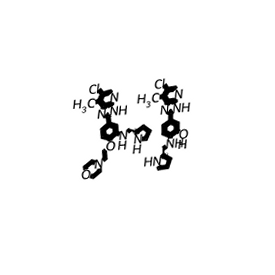 Cc1c(Cl)cnc2[nH]c(-c3ccc(NC[C@H]4CCCN4)c(O)c3)nc12.Cc1c(Cl)cnc2[nH]c(-c3ccc(OCCN4CCOCC4)c(NC[C@H]4CCCN4)c3)nc12